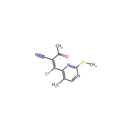 CSc1ncc(C)c(/C(Cl)=C(/C#N)C(C)=O)n1